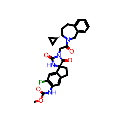 COC(=O)Nc1cc2c(cc1F)C1(CC2)NC(=O)N(CC(=O)N2Cc3ccccc3CC[C@H]2C2CC2)C1=O